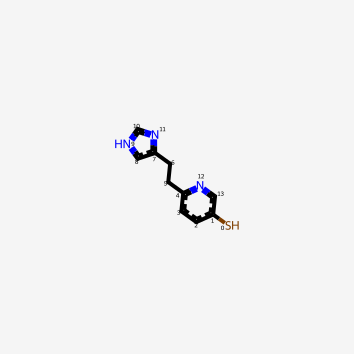 Sc1ccc(CCc2c[nH]cn2)nc1